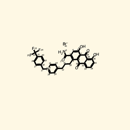 NC(=O)c1cc(O)c2c(c1CCCc1cc[n+](Cc3ccc(C(F)(F)F)cc3)cc1)C(=O)c1cccc(O)c1C2=O.[Br-]